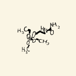 CCO[Si](OCC)(OCC)OCCCNC(N)=O